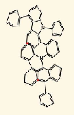 c1ccc(-c2ccccc2N(c2ccccc2-c2cccc3c4c(-c5ccccc5)cccc4n(-c4ccccc4)c23)c2ccc(-c3ccccc3)c3ccccc23)cc1